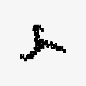 C=COCCSc1nc(SCCOC=C)nc(SCCOC=C)n1